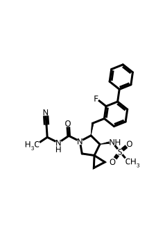 CC(C#N)NC(=O)N1CC2(CC2)[C@H](NS(C)(=O)=O)[C@@H]1Cc1cccc(-c2ccccc2)c1F